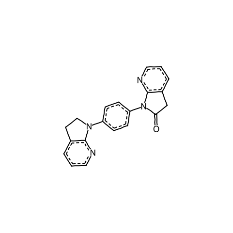 O=C1Cc2cccnc2N1c1ccc(N2CCc3cccnc32)cc1